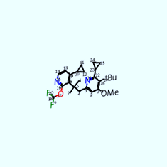 COc1cc(CC(C)(C)c2c(C3CC3)ccnc2OC(F)F)nc(C2CC2)c1C(C)(C)C